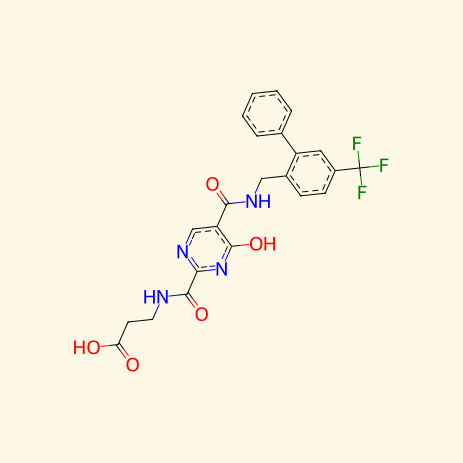 O=C(O)CCNC(=O)c1ncc(C(=O)NCc2ccc(C(F)(F)F)cc2-c2ccccc2)c(O)n1